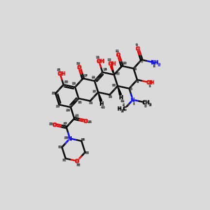 CN(C)C1C(O)C(C(N)=O)C(=O)[C@@]2(O)C(O)=C3C(=O)c4c(O)ccc(C(=O)C(=O)N5CCOCC5)c4C[C@H]3C[C@@H]12